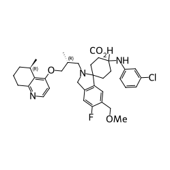 COCc1cc2c(cc1F)CN(C[C@@H](C)COc1ccnc3c1[C@H](C)CCC3)C21CCC(Nc2cccc(Cl)c2)(C(=O)O)CC1